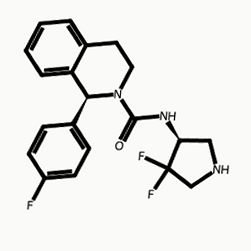 O=C(N[C@H]1CNCC1(F)F)N1CCc2ccccc2[C@@H]1c1ccc(F)cc1